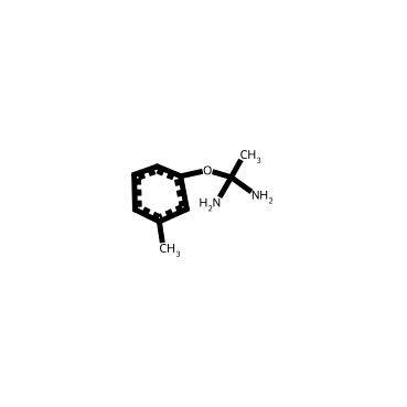 Cc1cccc(OC(C)(N)N)c1